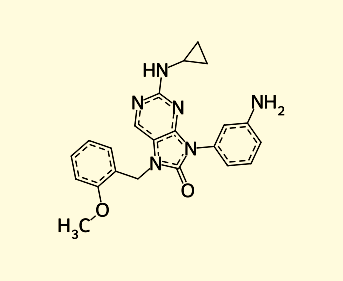 COc1ccccc1Cn1c(=O)n(-c2cccc(N)c2)c2nc(NC3CC3)ncc21